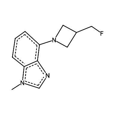 Cn1cnc2c(N3CC(CF)C3)cccc21